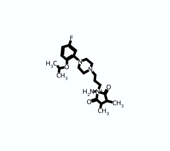 CC(C)Oc1ccc(F)cc1N1CCN(CCC[N+]2(N)C(=O)C(C)C(C)C2=O)CC1